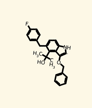 CC(C)(O)c1c(Cc2ccc(F)cc2)ccc2[nH][c]c(OCc3ccccc3)c12